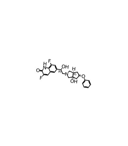 O=c1[nH]c2c(F)cc([C@@H](O)CN3C[C@H]4C[C@H](Oc5ccccc5)C[C@@]4(O)C3)cc2cc1F